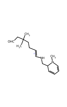 CN1C=CC=CC1CN/C=C/CCC(C)(C)CC=O